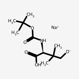 CC(C)(C)OC(=O)N[C@H](C(=O)O)C(C)(C)C[O-].[Na+]